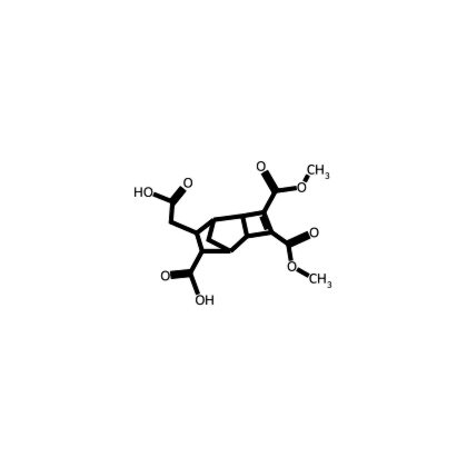 COC(=O)C1=C(C(=O)OC)C2C3CC(C(CC(=O)O)C3C(=O)O)C12